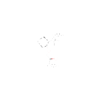 COC(=O)COc1ccccc1[Si](C)(C)OC